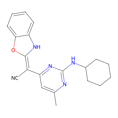 Cc1cc(C(C#N)=C2Nc3ccccc3O2)nc(NC2CCCCC2)n1